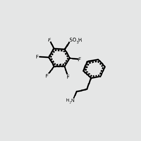 NCCc1ccccc1.O=S(=O)(O)c1c(F)c(F)c(F)c(F)c1F